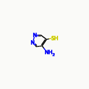 Nc1cnncc1S